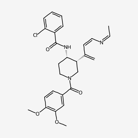 C=C(/C=C\N=C/C)[C@@H]1CN(C(=O)c2ccc(OC)c(OC)c2)CC[C@@H]1NC(=O)c1ccccc1Cl